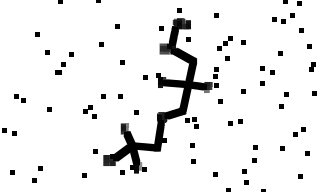 CCC(F)(F)COCC(F)(F)CNC(C)(C)C